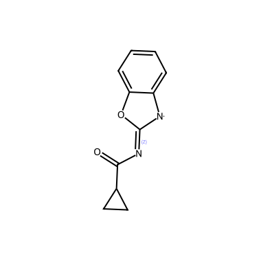 O=C(/N=C1/[N]c2ccccc2O1)C1CC1